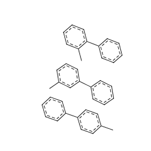 Cc1ccc(-c2ccccc2)cc1.Cc1cccc(-c2ccccc2)c1.Cc1ccccc1-c1ccccc1